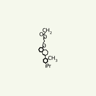 C=CC(=O)OCCCOc1cccc2c1CCCC(c1ccc(C(C)C)cc1C)=C2